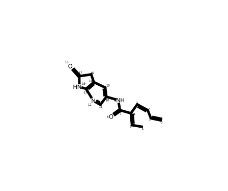 C=C/C=C\C(=C/C)C(=O)Nc1cnc2c(c1)CC(=O)N2